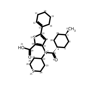 C[C@H]1CC[C@H](C(=O)N(c2cc(C3=CCCCC3)sc2C(=O)O)C2CCSCC2)CC1